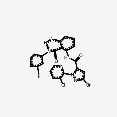 O=C(Nc1cccc2nnn(-c3cccc(F)c3)c(=O)c12)c1cc(Br)nn1-c1ncccc1Cl